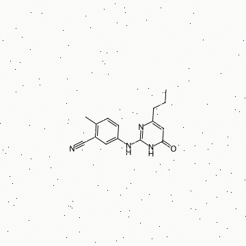 CCCc1cc(=O)[nH]c(Nc2ccc(C)c(C#N)c2)n1